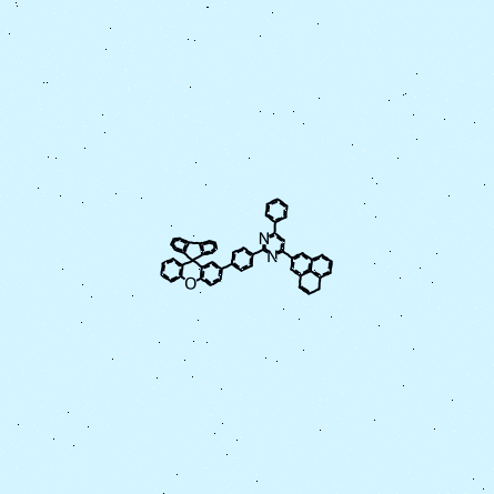 C1=Cc2cc(-c3cc(-c4ccccc4)nc(-c4ccc(-c5ccc6c(c5)C5(c7ccccc7O6)c6ccccc6-c6ccccc65)cc4)n3)cc3cccc(c23)C1